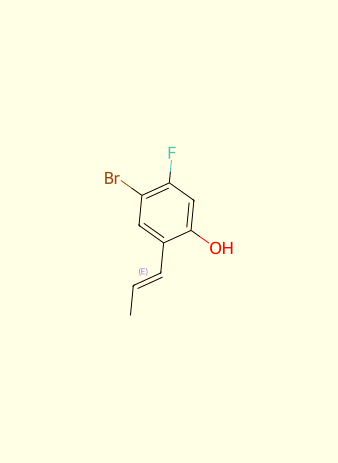 C/C=C/c1cc(Br)c(F)cc1O